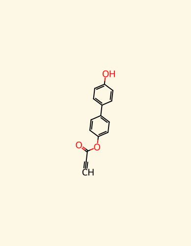 C#CC(=O)Oc1ccc(-c2ccc(O)cc2)cc1